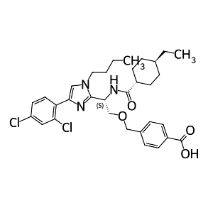 CCCCn1cc(-c2ccc(Cl)cc2Cl)nc1[C@@H](COCc1ccc(C(=O)O)cc1)NC(=O)[C@H]1CC[C@H](CC)CC1